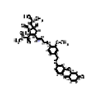 COc1cc(COc2ccc3nc4ccc(=O)cc-4oc3c2)ccc1OC/C=C/C1=C(C(=O)N(C)O)N2C(=O)[C@H]([C@@H](C)O)[C@H]2C1